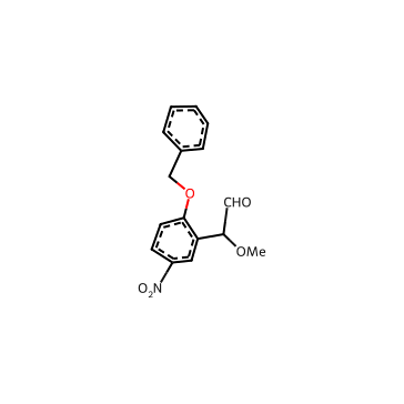 COC(C=O)c1cc([N+](=O)[O-])ccc1OCc1ccccc1